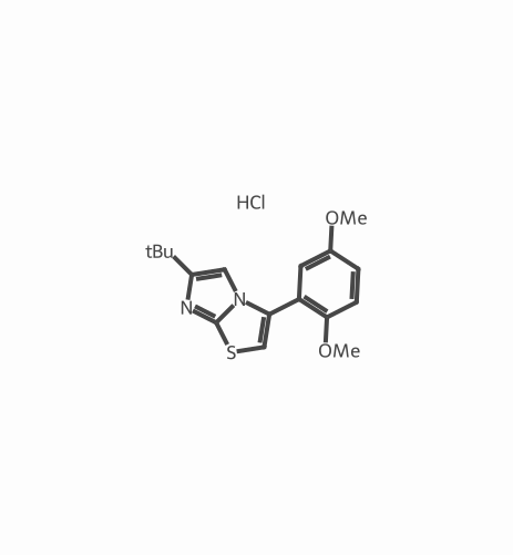 COc1ccc(OC)c(-c2csc3nc(C(C)(C)C)cn23)c1.Cl